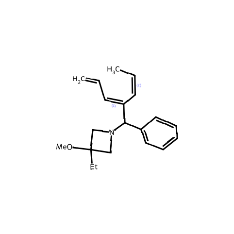 C=C/C=C(\C=C/C)C(c1ccccc1)N1CC(CC)(OC)C1